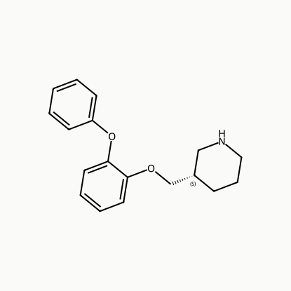 c1ccc(Oc2ccccc2OC[C@H]2CCCNC2)cc1